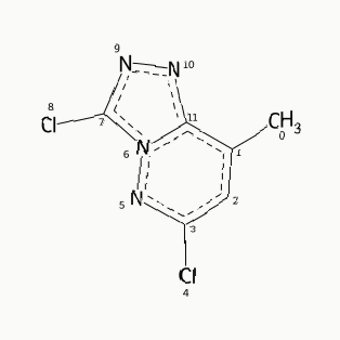 Cc1cc(Cl)nn2c(Cl)nnc12